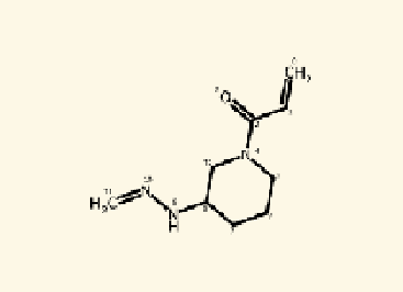 C=CC(=O)N1CCCC(NN=C)C1